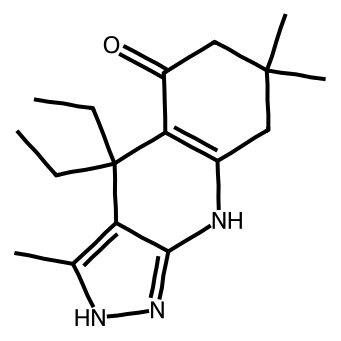 CCC1(CC)C2=C(CC(C)(C)CC2=O)Nc2n[nH]c(C)c21